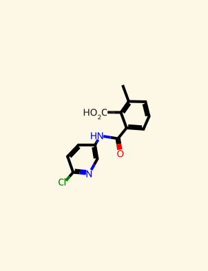 Cc1cccc(C(=O)Nc2ccc(Cl)nc2)c1C(=O)O